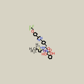 CC(C)(C)c1ccc(C(=O)N[C@@H](Cc2ccc(-c3ncc(-c4ccc(OCC(F)(F)F)cc4)cn3)cc2)C(=O)NC(C(=O)O)C(O)c2ccccc2)s1